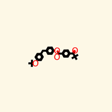 CC(C)(C)Oc1ccc(Cc2ccc(OC(=O)c3ccc(C(=O)C(C)(C)C)cc3)cc2)cc1